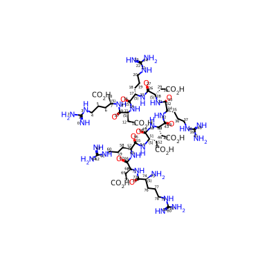 N=C(N)NCCC[C@H](NC(=O)[C@H](CC(=O)O)NC(=O)[C@H](CCCNC(=N)N)NC(=O)[C@H](CC(=O)O)NC(=O)[C@H](CCCNC(=N)N)NC(=O)[C@H](CC(=O)O)NC(=O)[C@H](CC(=O)O)NC(=O)[C@H](CCCNC(=N)N)NC(=O)[C@H](CC(=O)O)NC(=O)[C@@H](N)CCCNC(=N)N)C(=O)O